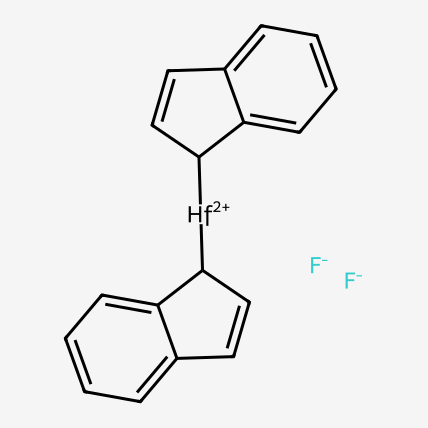 C1=C[CH]([Hf+2][CH]2C=Cc3ccccc32)c2ccccc21.[F-].[F-]